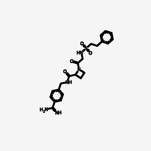 N=C(N)c1ccc(CNC(=O)C2CCN2C(=O)CNS(=O)(=O)CCc2ccccc2)cc1